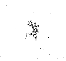 CC(C)(O)c1sc(=S)sc1-c1cnc2c(=O)[nH]c(N3CCOCC3)nc2n1